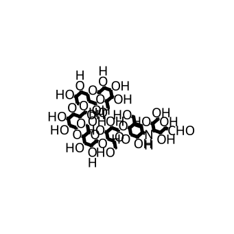 O=CC(O)C(O)C(NC1C=C(CO)C(OC2OC(CO)C(OC3OC(CO)C(OC4OC(CO)C(OC5OC(CO)C(OC6OC(CO)C(O)C(O)C6O)C(O)C5O)C(O)C4O)C(O)C3O)C(O)C2O)C(O)C1O)C(O)CO